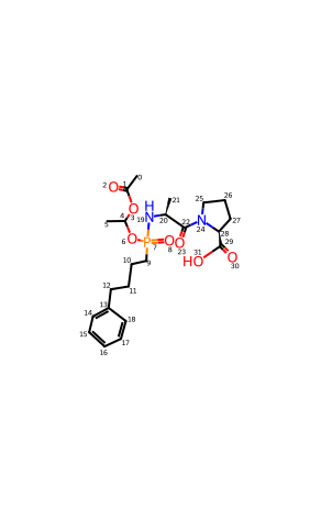 CC(=O)OC(C)OP(=O)(CCCCc1ccccc1)N[C@@H](C)C(=O)N1CCC[C@H]1C(=O)O